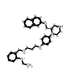 CCOc1ccccc1COCCCOc1ccc(N2CCNC[C@@H]2COc2ccc3ccccc3c2)cc1